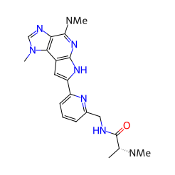 CNc1nc2[nH]c(-c3cccc(CNC(=O)[C@@H](C)NC)n3)cc2c2c1ncn2C